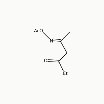 CCC(=O)CC(C)=NOC(C)=O